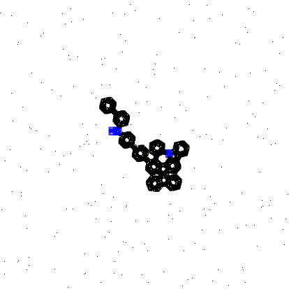 C1=c2c(n3c4c5c(ccc24)C2(c4ccccc4-c4ccccc42)c2ccc(-c4ccc(-c6ccc(Nc7cccc(-c8ccccc8)c7)cc6)cc4)c(c2-5)-c2ccccc2-3)=CCC1